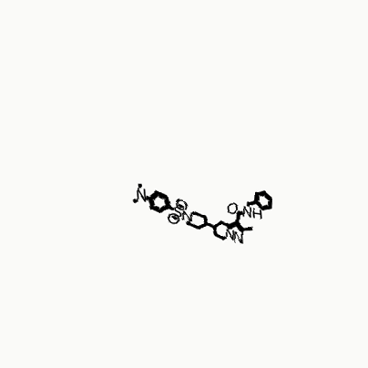 Cc1nn2c(c1C(=O)NCc1ccccc1)CC(C1CCN(S(=O)(=O)c3ccc(N(C)C)cc3)CC1)CC2